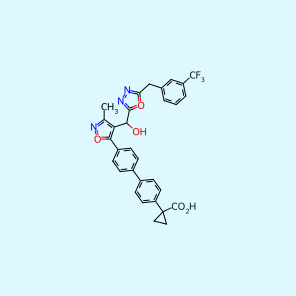 Cc1noc(-c2ccc(-c3ccc(C4(C(=O)O)CC4)cc3)cc2)c1C(O)c1nnc(Cc2cccc(C(F)(F)F)c2)o1